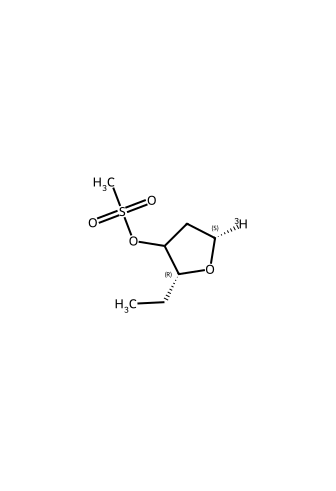 [3H][C@H]1CC(OS(C)(=O)=O)[C@@H](CC)O1